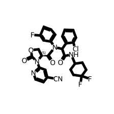 N#Cc1ccnc(N2C(=O)OC[C@H]2C(=O)N(c2cccc(F)c2)C(C(=O)NC2CCC(F)(F)CC2)c2ccccc2Cl)c1